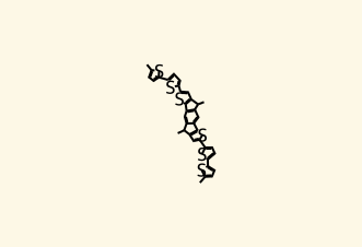 Cc1ccc(-c2ccc(-c3cc4c(s3)-c3cc5c(cc3C4C)-c3sc(-c4ccc(-c6ccc(C)s6)s4)cc3C5C)s2)s1